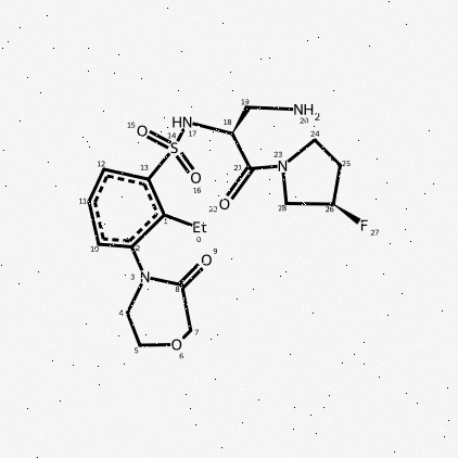 CCc1c(N2CCOCC2=O)cccc1S(=O)(=O)N[C@@H](CN)C(=O)N1CC[C@@H](F)C1